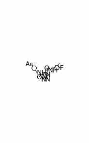 CC(=O)C1CCC(CNC(=O)c2cc(C(=O)NCc3ccc(F)c(C)c3)nc3ncnn23)CC1